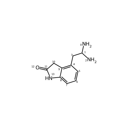 NC(N)Cc1cccc2c1CC(=O)N2